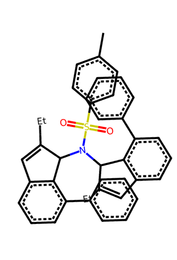 CCC1=Cc2cccc(-c3ccccc3)c2C1N(C1C(CC)=Cc2cccc(-c3ccccc3)c21)S(=O)(=O)c1ccc(C)cc1